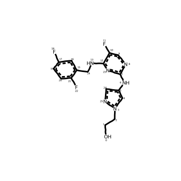 OCCn1cc(Nc2ncc(F)c(NCc3cc(F)ccc3F)n2)cn1